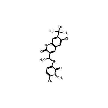 CC(Nc1ccc(C#N)n(C)c1=O)c1cc2cc(Cl)c(C(C)(C)O)cc2[nH]c1=O